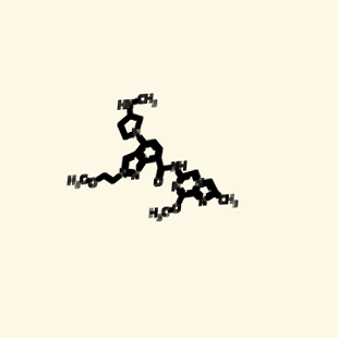 CNC1CCN(c2ccc(C(=O)Nc3cn4cc(C)nc4c(OC)n3)c3nn(CCOC)cc23)C1